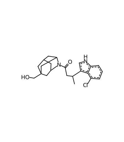 CC(CC(=O)N1C2CC3CC1CC(CO)(C3)C2)c1c[nH]c2cccc(Cl)c12